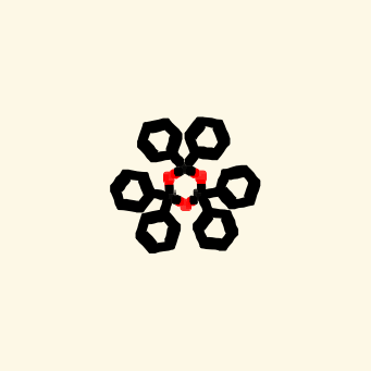 c1ccc([Si]2(c3ccccc3)O[Si](c3ccccc3)(c3ccccc3)O[Si](c3ccccc3)(c3ccccc3)O2)cc1